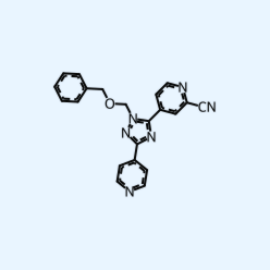 N#Cc1cc(-c2nc(-c3ccncc3)nn2COCc2ccccc2)ccn1